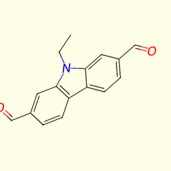 CCn1c2cc(C=O)ccc2c2ccc(C=O)cc21